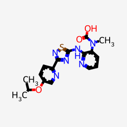 CC(C)Oc1ccc(-c2nsc(Nc3ncccc3N(C)C(=O)O)n2)nc1